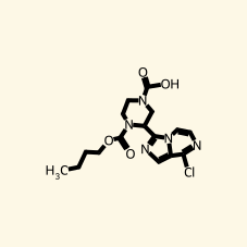 CCCCOC(=O)N1CCN(C(=O)O)CC1c1ncc2c(Cl)nccn12